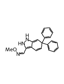 CO/N=C\C1=C2C=CC(c3ccccc3)(c3ccccc3)C=C2NN1